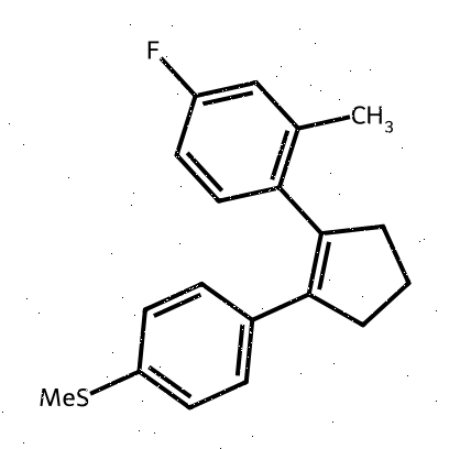 CSc1ccc(C2=C(c3ccc(F)cc3C)CCC2)cc1